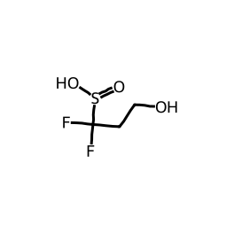 O=S(O)C(F)(F)CCO